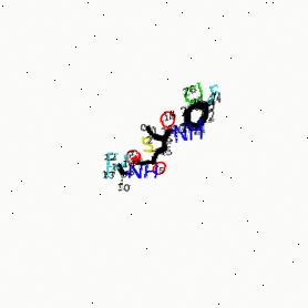 Cc1sc(C(=O)C(=O)N[C@H](C)C(F)(F)F)cc1C(=O)Nc1ccc(F)c(Cl)c1